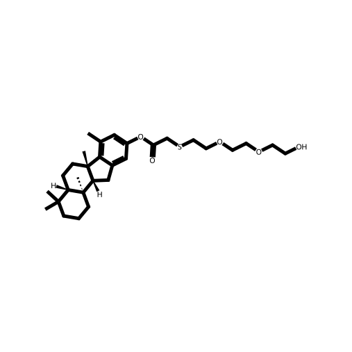 Cc1cc(OC(=O)CSCCOCCOCCO)cc2c1[C@@]1(C)CC[C@H]3C(C)(C)CCC[C@]3(C)[C@H]1C2